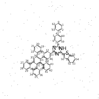 c1ccc(-c2ccc(C3=NC(c4ccc(-c5c(-c6ccccc6)cc(-c6ccccc6)c(-c6ccccc6)c5-c5ccccc5)cc4)=NC(c4cc5ccccc5s4)N3)cc2)cc1